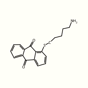 NCCCCCSc1cccc2c1C(=O)c1ccccc1C2=O